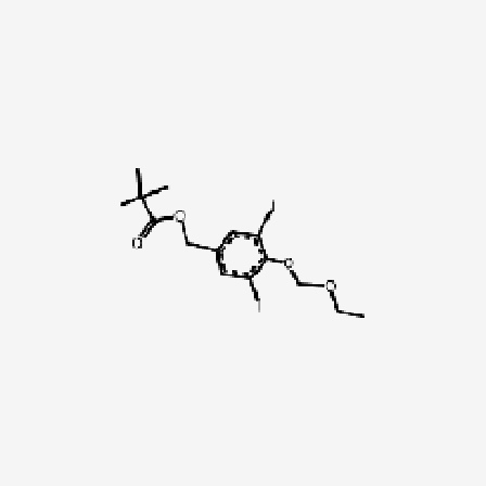 CCOCOc1c(I)cc(COC(=O)C(C)(C)C)cc1I